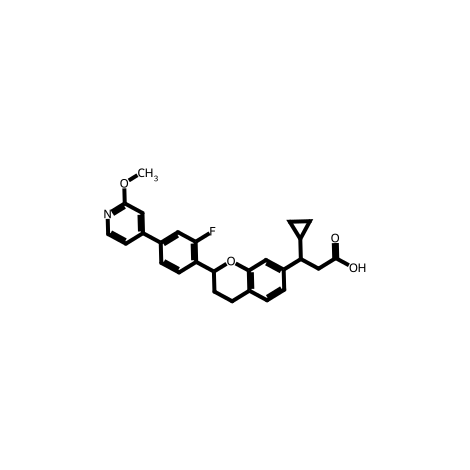 COc1cc(-c2ccc(C3CCc4ccc(C(CC(=O)O)C5CC5)cc4O3)c(F)c2)ccn1